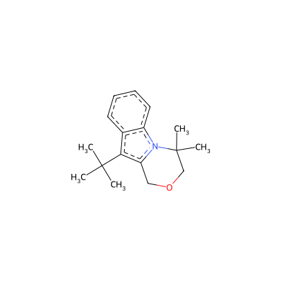 CC(C)(C)c1c2n(c3ccccc13)C(C)(C)COC2